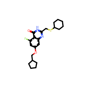 O=c1[nH]c(CSC2CCCCC2)nc2cc(OCC3CCCC3)cc(F)c12